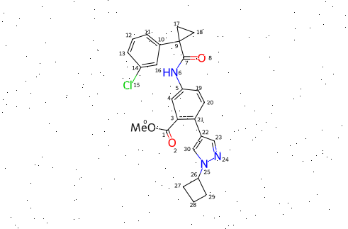 COC(=O)c1cc(NC(=O)C2(c3cccc(Cl)c3)CC2)ccc1-c1cnn(C2CCC2)c1